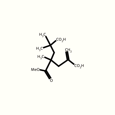 C=C(CC(C)(CC(C)(C)C(=O)O)C(=O)OC)C(=O)O